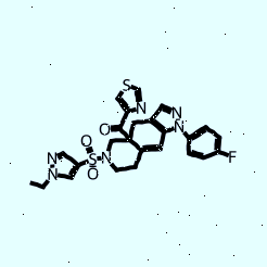 CCn1cc(S(=O)(=O)N2CCC3=Cc4c(cnn4-c4ccc(F)cc4)CC3(C(=O)c3cscn3)C2)cn1